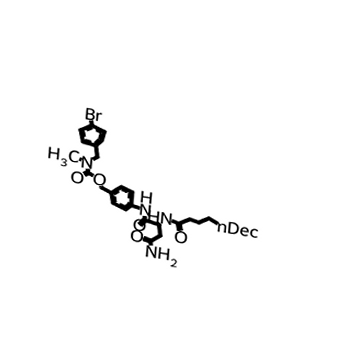 CCCCCCCCCCCCCC(=O)NC(CC(N)=O)C(=O)Nc1ccc(COC(=O)N(C)Cc2ccc(Br)cc2)cc1